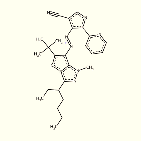 CCCCC(CC)c1nn(C)c2c(/N=N/c3c(C#N)cnn3-c3ccccn3)c(C(C)(C)C)nn12